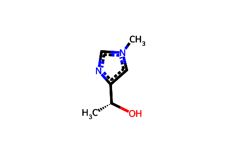 C[C@@H](O)c1cn(C)cn1